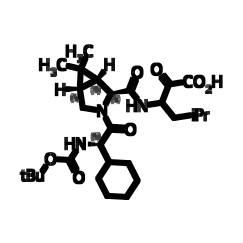 CC(C)CC(NC(=O)[C@@H]1[C@@H]2[C@H](CN1C(=O)[C@@H](NC(=O)OC(C)(C)C)C1CCCCC1)C2(C)C)C(=O)C(=O)O